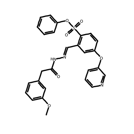 COc1cccc(CC(=O)N/N=C/c2cc(Oc3cccnc3)ccc2S(=O)(=O)Oc2ccccc2)c1